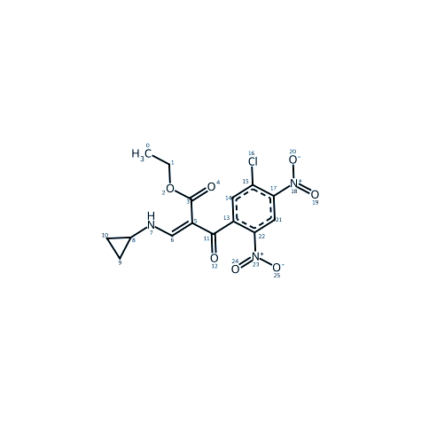 CCOC(=O)C(=CNC1CC1)C(=O)c1cc(Cl)c([N+](=O)[O-])cc1[N+](=O)[O-]